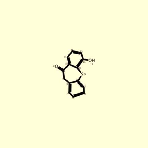 O=C1Cc2ccccc2Sc2c(O)cccc21